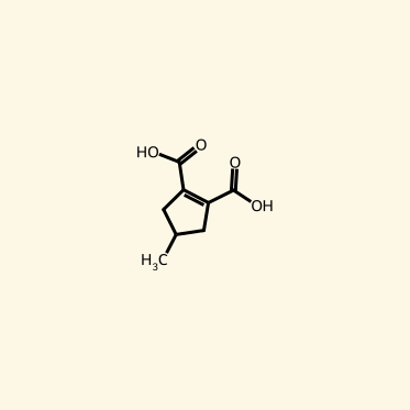 CC1CC(C(=O)O)=C(C(=O)O)C1